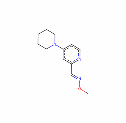 CO/N=C/c1cc(N2CCCCC2)ccn1